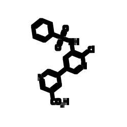 O=C(O)c1cncc(-c2cnc(Cl)c(NS(=O)(=O)c3ccccc3)c2)c1